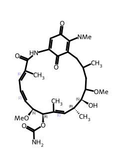 CNC1=C2CC(C)CC(OC)[C@@H](O)[C@H](C)/C=C(\C)[C@@H](OC(N)=O)[C@@H](OC)/C=C\C=C(/C)C(=O)NC(=CC1=O)C2=O